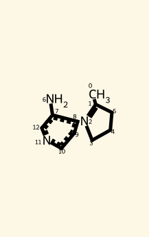 CC1=NCCC1.Nc1cccnc1